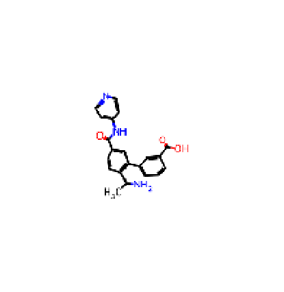 CC(N)c1ccc(C(=O)Nc2ccncc2)cc1-c1cccc(C(=O)O)c1